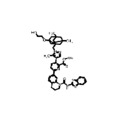 Cc1c(-c2ccc(-c3ccc4c(c3)N(C(=O)Nc3nc5ccccc5s3)CCC4)nc2C(=O)OC(C)(C)C)cnn1CC12CC3(C)CC(C)(C1)CC(OCCO)(C3)C2